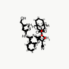 CN(c1nc(Nc2cc(CO)[nH]n2)c2cccnc2n1)[C@@H]1C[C@H]2CCC[C@@H](C1)N2S(=O)(=O)N1CC(C#N)C1